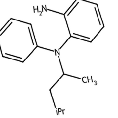 CC(C)CC(C)N(c1ccccc1)c1ccccc1N